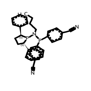 CCCCN(P(c1ccc(C#N)cc1)c1ccc(C#N)cc1)P1[C@H](c2ccccc2)CC[C@H]1c1ccccc1